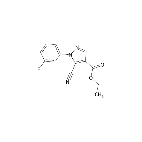 CCOC(=O)c1cnn(-c2cccc(F)c2)c1C#N